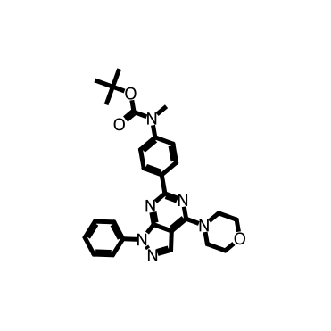 CN(C(=O)OC(C)(C)C)c1ccc(-c2nc(N3CCOCC3)c3cnn(-c4ccccc4)c3n2)cc1